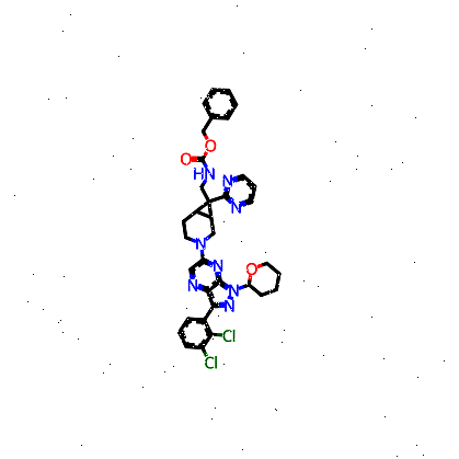 O=C(NCC1(c2ncccn2)C2CCN(c3cnc4c(-c5cccc(Cl)c5Cl)nn(C5CCCCO5)c4n3)CC21)OCc1ccccc1